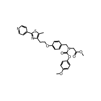 COC(=O)CN(Cc1ccc(OCCc2nc(-c3ccncc3)sc2C)cc1)C(=O)Oc1ccc(OC)cc1